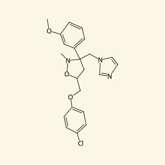 COc1cccc(C2(Cn3ccnc3)CC(COc3ccc(Cl)cc3)ON2C)c1